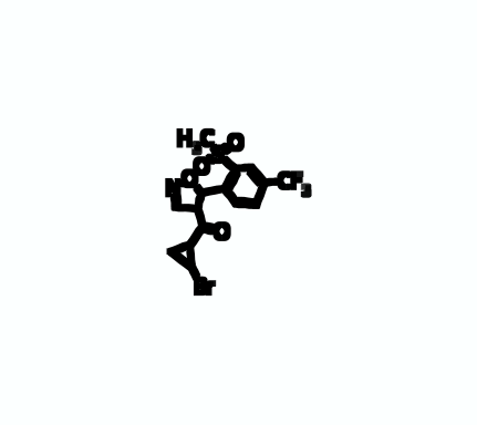 CS(=O)(=O)c1cc(C(F)(F)F)ccc1C1ON=CC1C(=O)C1CC1Br